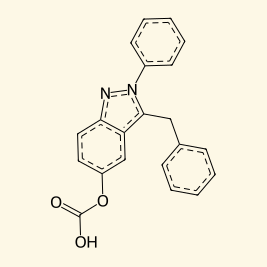 O=C(O)Oc1ccc2nn(-c3ccccc3)c(Cc3ccccc3)c2c1